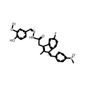 CCOc1cc(/C=N\NC(=O)CC2=C(C)/C(=C/c3ccc([S+](C)[O-])cc3)c3ccc(F)cc32)ccc1O